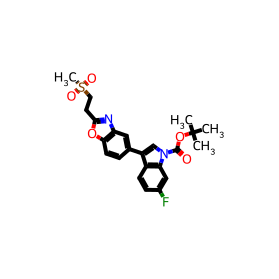 CC(C)(C)OC(=O)n1cc(-c2ccc3oc(CCS(C)(=O)=O)nc3c2)c2ccc(F)cc21